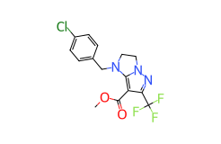 COC(=O)c1c(C(F)(F)F)nn2c1N(Cc1ccc(Cl)cc1)CC2